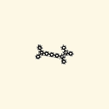 c1ccc(-c2cc(-c3cc(-c4ccc(-c5ccc(-c6ccc(-c7cc(-c8ccncc8)nc(-c8ccccc8)n7)cc6)cc5)cc4)nc(-c4ccccc4)n3)nc(-c3ccccc3)n2)cc1